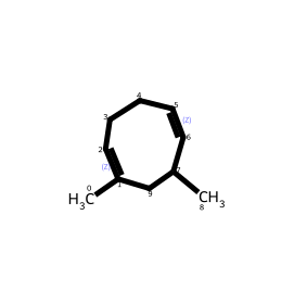 C/C1=C/CC/C=C\C(C)C1